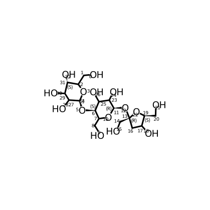 OCC1O[C@@H](O[C@@H]2C(CO)O[C@H](O[C@@]3(CO)CC(O)[C@H](CO)O3)C(O)C2O)C(O)C(O)[C@@H]1O